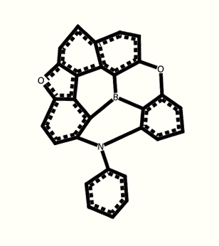 c1ccc(N2c3cccc4c3B3c5c(ccc6ccc7oc8ccc2c3c8c7c56)O4)cc1